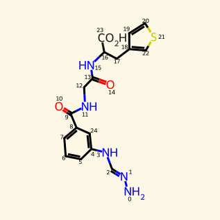 NN=CNc1cccc(C(=O)NCC(=O)NC(Cc2ccsc2)C(=O)O)c1